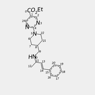 CCOC(=O)c1cnc(N2CCC(CNC(C)/C=C/c3ccccc3)CC2)nc1